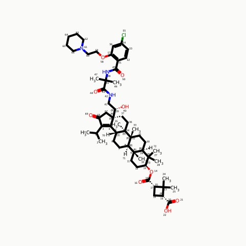 CC(C)C1=C2[C@H]3CC[C@@H]4[C@@]5(C)CC[C@H](OC(=O)[C@H]6C[C@@H](C(=O)O)C6(C)C)C(C)(C)[C@@H]5CC[C@@]4(C)[C@]3(C)CC[C@@]2([C@@H](O)CNC(=O)C(C)(C)NC(=O)c2ccc(Cl)cc2OCCN2CCCCC2)CC1=O